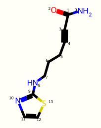 NC(=O)C#CCCCNc1nccs1